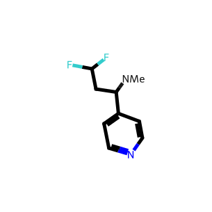 CNC(CC(F)F)c1ccncc1